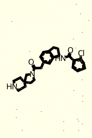 O=C(NC1CCc2ccc(CC(=O)N3CCC4(CCNCC4)C3)cc21)c1ccccc1Cl